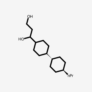 CCC[C@H]1CC[C@H](C2CCC(C(O)CCO)CC2)CC1